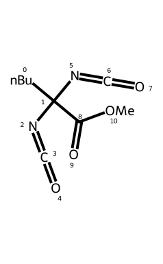 CCCCC(N=C=O)(N=C=O)C(=O)OC